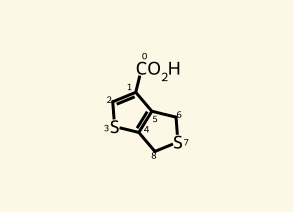 O=C(O)c1csc2c1CSC2